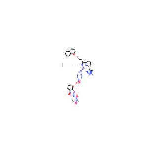 Cc1nn(C)c(C)c1-c1cccc2c(CCCOc3cccc4ccccc34)c(C(=O)O)n(CCN3CCN(C(=O)COc4cccc5c4C(=O)N(C4CCC(=O)NC4=O)C5=O)CC3)c12